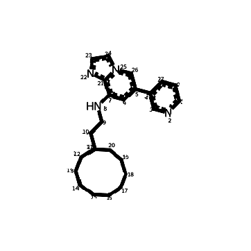 c1cncc(-c2cc(NCCC3CCCCCCCCC3)c3nccn3c2)c1